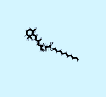 CCCCCCCCCCOC(=O)c1nc(/C=C(\C)C=CC2=C(C)CCCC2(C)C)c[nH]1